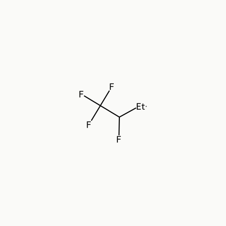 C[CH]C(F)C(F)(F)F